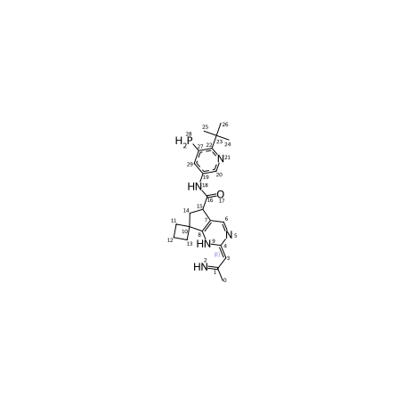 CC(=N)/C=C1/N=CC2=C(N1)C1(CCC1)CC2C(=O)Nc1cnc(C(C)(C)C)c(P)c1